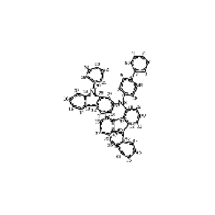 c1ccc(-c2ccc(N(c3ccc4c5ccccc5n(-c5ccccc5)c4c3)c3cccc4c3-c3cccc5cc6ccccc6c-4c35)cc2)cc1